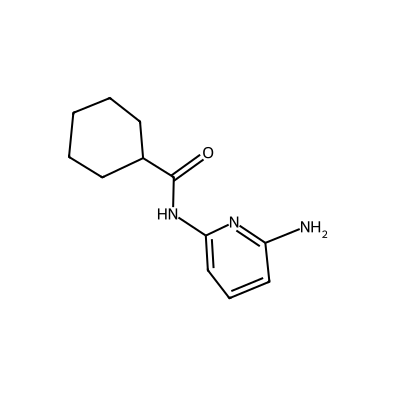 Nc1cccc(NC(=O)C2CCCCC2)n1